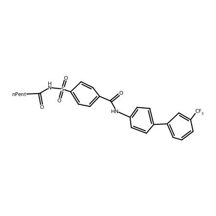 CCCCCC(=O)NS(=O)(=O)c1ccc(C(=O)Nc2ccc(-c3cccc(C(F)(F)F)c3)cc2)cc1